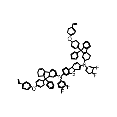 C=CC1=CC=C(OC2C=CC(C3(c4ccccc4)C4=C(CCC(N(C5=CCC(F)C(F)=C5)C5=CC6Sc7cc(N(c8ccc(F)c(F)c8)c8ccc9c(c8)C(c8ccccc8)(C8C=CC(Oc%10ccc(C=C)cc%10)=CC8)C8=C9C=CCC8)ccc7C6C=C5)=C4)c4ccccc43)=CC2)CC1